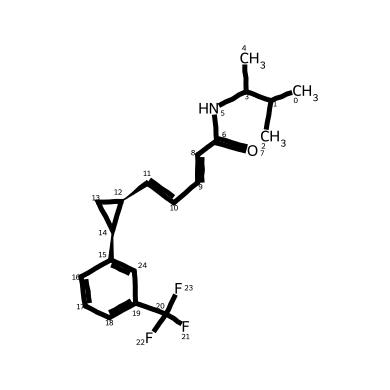 CC(C)C(C)NC(=O)/C=C/C=C[C@@H]1C[C@@H]1c1cccc(C(F)(F)F)c1